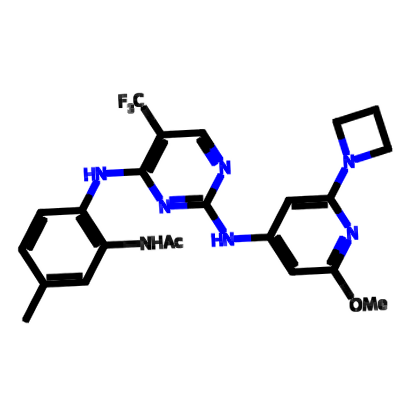 COc1cc(Nc2ncc(C(F)(F)F)c(Nc3ccc(C)cc3NC(C)=O)n2)cc(N2CCC2)n1